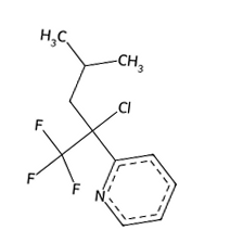 CC(C)CC(Cl)(c1ccccn1)C(F)(F)F